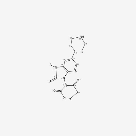 Cn1c(=O)n(N2C(=O)CCCC2=O)c2ccc(C3CCNCC3)cc21